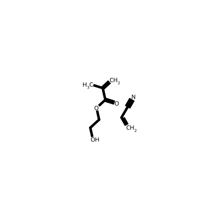 C=C(C)C(=O)OCCO.C=CC#N